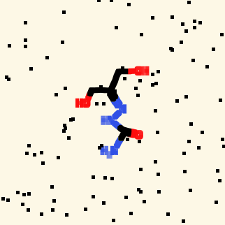 NC(=O)NN=C(CO)CO